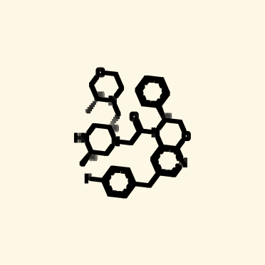 C[C@@H]1CN(CC(=O)N2c3cc(Cc4ccc(F)cc4)cnc3OC[C@@H]2c2ccccc2)[C@@H](CN2CCOC[C@H]2C)CN1